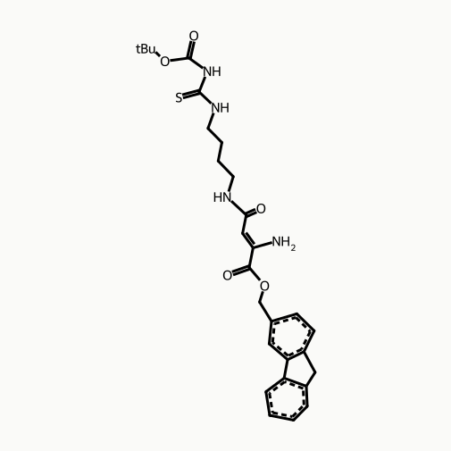 CC(C)(C)OC(=O)NC(=S)NCCCCNC(=O)C=C(N)C(=O)OCc1ccc2c(c1)-c1ccccc1C2